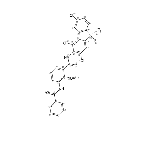 COc1c(NC(=O)c2ccccc2)cccc1C(=O)Nc1c(Cl)cc(C(F)(c2ccc(Cl)cc2)C(F)(F)F)cc1Cl